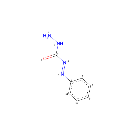 NNC(=O)N=Nc1ccccc1